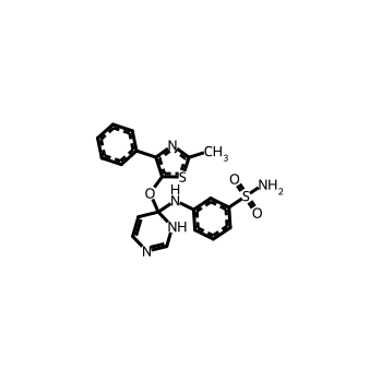 Cc1nc(-c2ccccc2)c(OC2(Nc3cccc(S(N)(=O)=O)c3)C=CN=CN2)s1